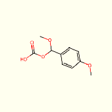 COc1ccc(C(OC)OC(=O)O)cc1